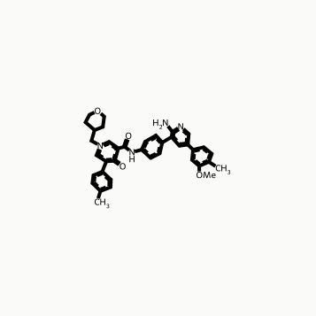 COc1cc(-c2cnc(N)c(-c3ccc(NC(=O)c4cn(CC5CCOCC5)cc(-c5ccc(C)cc5)c4=O)cc3)c2)ccc1C